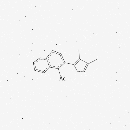 CC(=O)c1c(C2=C(C)C(C)=CC2)ccc2ccccc12